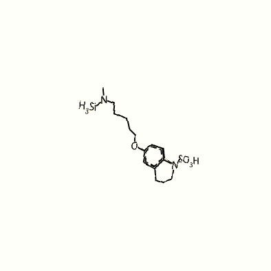 CN([SiH3])CCCCCOc1ccc2c(c1)CCCN2S(=O)(=O)O